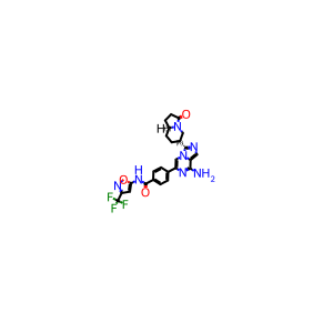 Nc1nc(-c2ccc(C(=O)Nc3cc(C(F)(F)F)no3)cc2)cn2c([C@@H]3CC[C@H]4CCC(=O)N4C3)ncc12